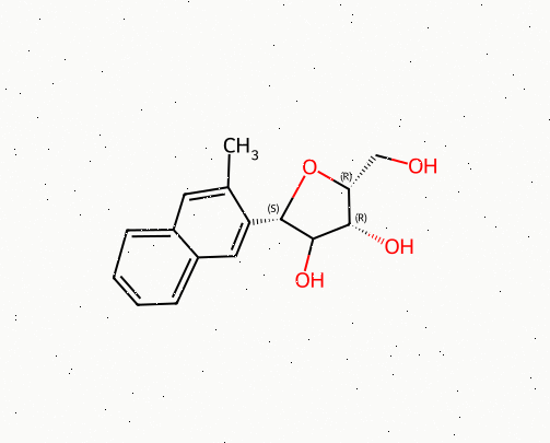 Cc1cc2ccccc2cc1[C@@H]1O[C@H](CO)[C@H](O)C1O